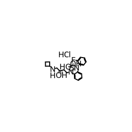 Cl.O[C@@H](CCN1c2ccccc2N(c2ccccc2F)S1(O)O)CNC1CCC1